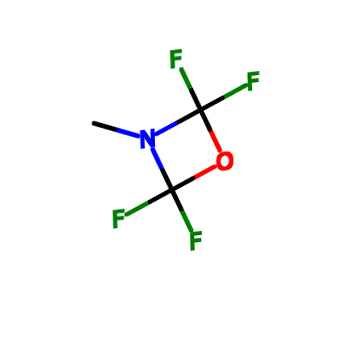 CN1C(F)(F)OC1(F)F